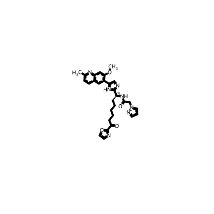 COc1cc2nc(C)ccc2cc1-c1cnc([C@H](CCCCCC(=O)c2ncco2)NC(=O)Cn2cccn2)[nH]1